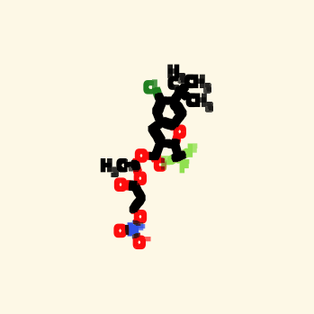 C[C@@H](OC(=O)CCO[N+](=O)[O-])OC(=O)C1=Cc2cc(Cl)c(C(C)(C)C)cc2OC1C(F)(F)F